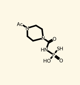 CC(=O)N1CCN(C(=O)NP(=O)(O)S)CC1